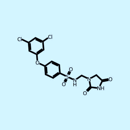 O=C1CN(CNS(=O)(=O)c2ccc(Oc3cc(Cl)cc(Cl)c3)cc2)C(=O)N1